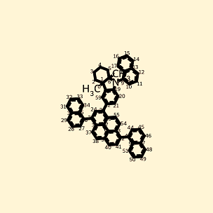 CC12CCCCC1(C)N(c1cccc3ccccc13)c1ccc(-c3cc(-c4cccc5ccccc45)c4ccc5ccc(-c6cccc7ccccc67)c6ccc3c4c56)cc12